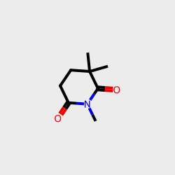 CN1C(=O)CCC(C)(C)C1=O